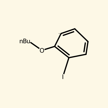 CCCCOc1[c]cccc1I